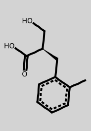 Cc1ccccc1C[C@H](CO)C(=O)O